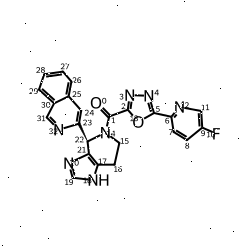 O=C(c1nnc(-c2ccc(F)cn2)o1)N1CCc2[nH]cnc2[C@H]1c1cc2ccccc2cn1